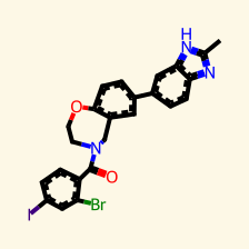 Cc1nc2ccc(-c3ccc4c(c3)CN(C(=O)c3ccc(I)cc3Br)CCO4)cc2[nH]1